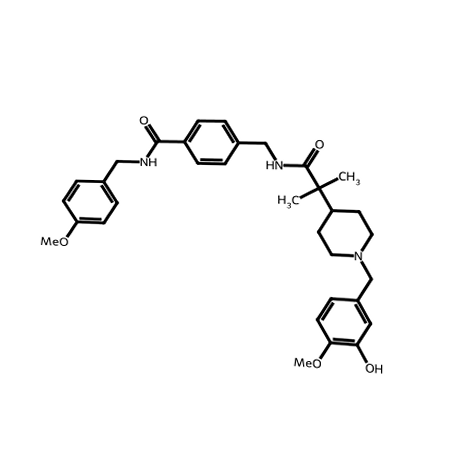 COc1ccc(CNC(=O)c2ccc(CNC(=O)C(C)(C)C3CCN(Cc4ccc(OC)c(O)c4)CC3)cc2)cc1